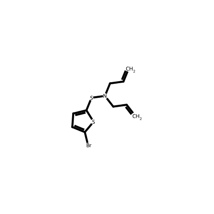 C=CCN(CC=C)Sc1ccc(Br)s1